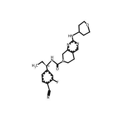 CC[C@@H](NC(=O)N1CCc2cnc(NC3CCOCC3)nc2C1)c1ccc(C#N)c(F)c1